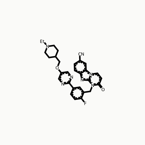 CCN1CCC(COc2cnc(-c3ccc(F)c(Cn4c(=O)ccn5c6cc(C#N)ccc6nc45)c3)nc2)CC1